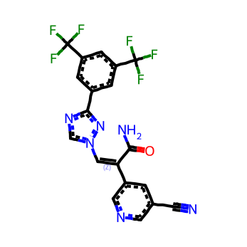 N#Cc1cncc(/C(=C/n2cnc(-c3cc(C(F)(F)F)cc(C(F)(F)F)c3)n2)C(N)=O)c1